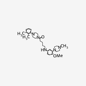 COc1ccc(NCCCCC(=O)N2CCN(c3cccc(C)c3C)CC2)cc1N1CCN(C)CC1